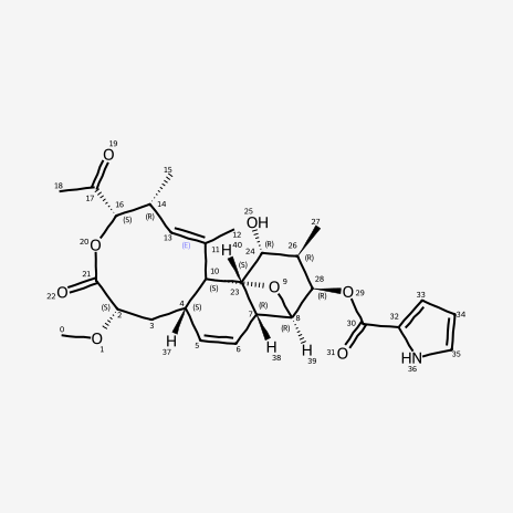 CO[C@H]1C[C@H]2C=C[C@H]3[C@H]4O[C@]2(/C(C)=C/[C@@H](C)[C@@H](C(C)=O)OC1=O)[C@@H]3[C@H](O)[C@@H](C)[C@H]4OC(=O)c1ccc[nH]1